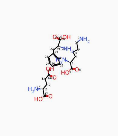 NCCCC[C@H](N)C(=O)O.N[C@@H](CCC(=O)O)C(=O)O.N[C@@H](Cc1ccccc1)C(=O)O